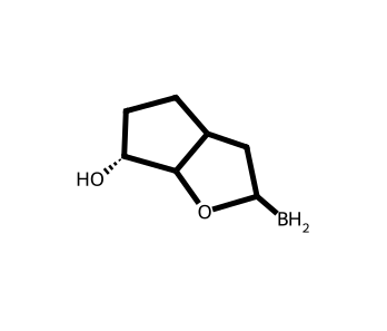 BC1CC2CC[C@@H](O)C2O1